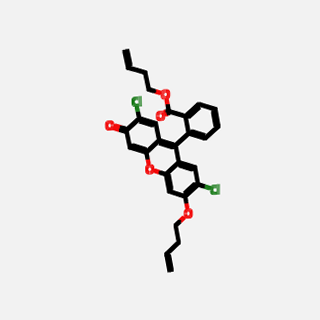 C=CCCOC(=O)c1ccccc1-c1c2cc(Cl)c(=O)cc-2oc2cc(OCCC=C)c(Cl)cc12